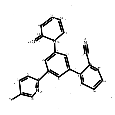 Cc1ccc(-c2cc(-c3ccccc3C#N)cc(-n3ccccc3=O)c2)nc1